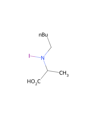 CCCCCN(I)C(C)C(=O)O